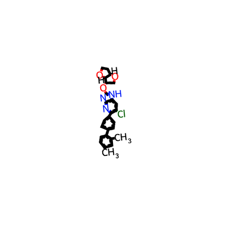 Cc1ccc(-c2ccc(-c3nc4nc(OC5CO[C@@H]6CCO[C@H]56)[nH]c4cc3Cl)cc2)c(C)c1